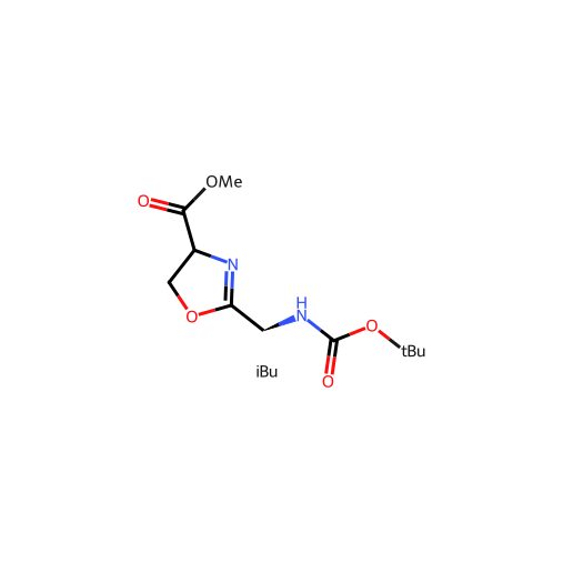 CC[C@H](C)[C@H](NC(=O)OC(C)(C)C)C1=NC(C(=O)OC)CO1